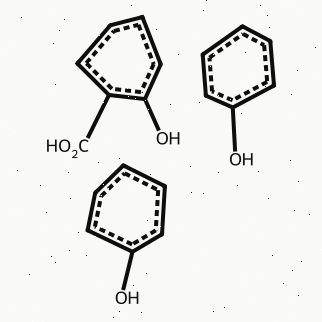 O=C(O)c1ccccc1O.Oc1ccccc1.Oc1ccccc1